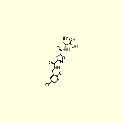 CC(C)CC(NC(=O)C1CC(C(=O)NCc2cc(Cl)ccc2Cl)=NO1)B(O)O